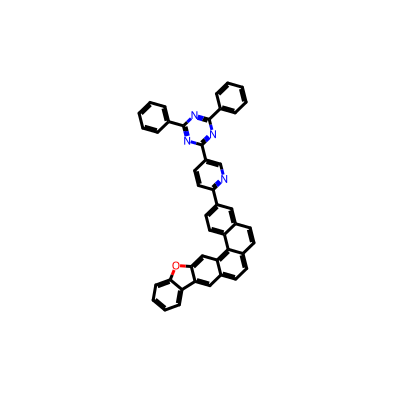 c1ccc(-c2nc(-c3ccccc3)nc(-c3ccc(-c4ccc5c(ccc6ccc7cc8c(cc7c65)oc5ccccc58)c4)nc3)n2)cc1